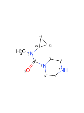 CN(C(=O)N1CCNCC1)C1CC1